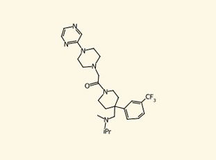 CC(C)N(C)CC1(c2cccc(C(F)(F)F)c2)CCN(C(=O)CN2CCN(c3cnccn3)CC2)CC1